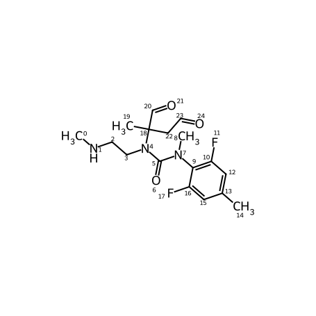 CNCCN(C(=O)N(C)c1c(F)cc(C)cc1F)C(C)(C=O)CC=O